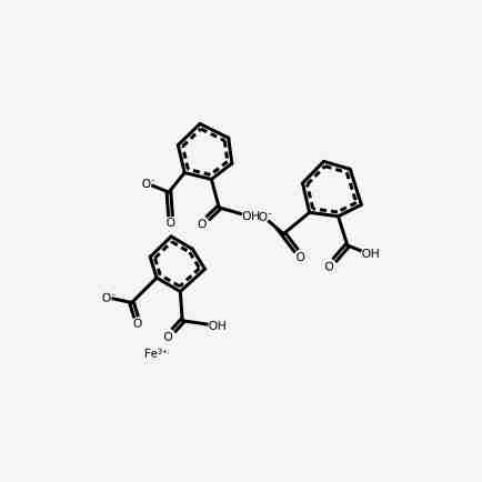 O=C([O-])c1ccccc1C(=O)O.O=C([O-])c1ccccc1C(=O)O.O=C([O-])c1ccccc1C(=O)O.[Fe+3]